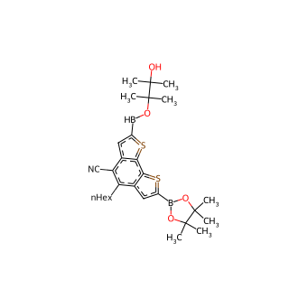 CCCCCCc1c(C#N)c2cc(BOC(C)(C)C(C)(C)O)sc2c2sc(B3OC(C)(C)C(C)(C)O3)cc12